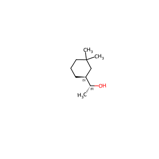 C[C@@H](O)[C@H]1CCCC(C)(C)C1